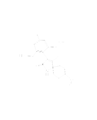 CCc1cc(Cl)cc(OC)c1C1=C(C)C2(CCC(OC)CC2)NC1=O